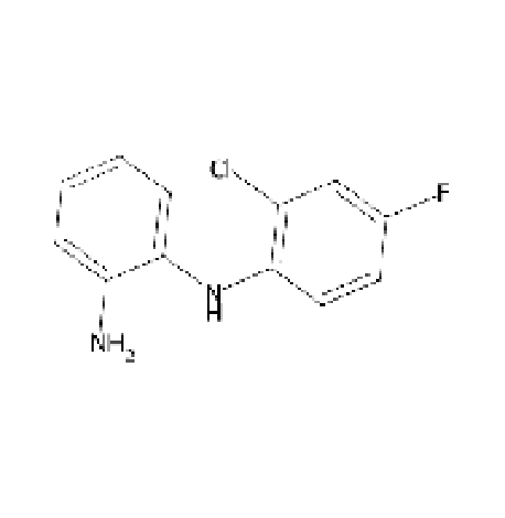 Nc1ccccc1Nc1ccc(F)cc1Cl